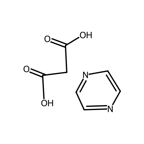 O=C(O)CC(=O)O.c1cnccn1